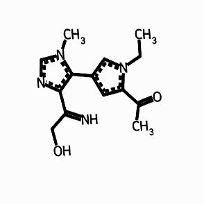 CCn1cc(-c2c(C(=N)CO)ncn2C)cc1C(C)=O